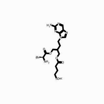 CCCCCCCCCCCCCC(=O)OCC(CCn1cnc2cnc(N)nc21)COC(=O)[C@@H](N)C(C)CC